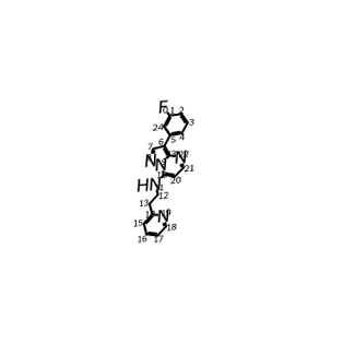 Fc1cccc(-c2cnn3c(NCCc4ccccn4)ccnc23)c1